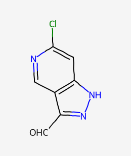 O=Cc1n[nH]c2cc(Cl)ncc12